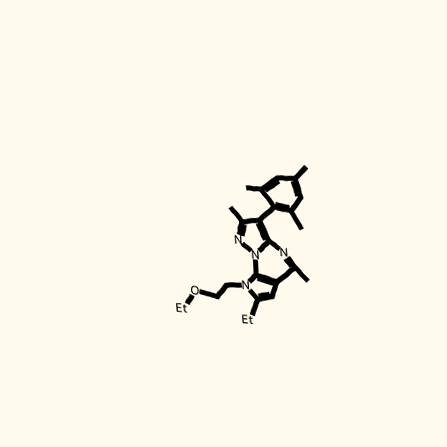 CCOCCn1c(CC)cc2c(C)nc3c(-c4c(C)cc(C)cc4C)c(C)nn3c21